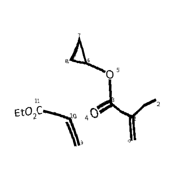 C=C(C)C(=O)OC1CC1.C=CC(=O)OCC